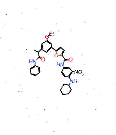 CCOc1cc(-c2ccc(C(=O)Nc3ccc(NC4CCCCC4)c([N+](=O)[O-])c3)o2)cc(C(C)C(=O)Nc2ccccc2)c1